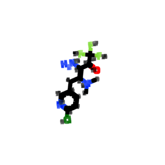 CN(C)C(Cc1ccc(Cl)nc1)=C(N)C(=O)C(F)(F)F